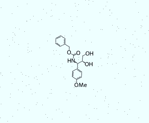 COc1ccc([C@@H](NC(=O)OCc2ccccc2)[C@H](O)CO)cc1